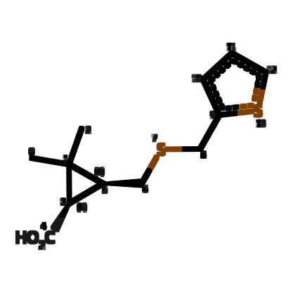 CC1(C)[C@H](C(=O)O)[C@@H]1CSCc1cccs1